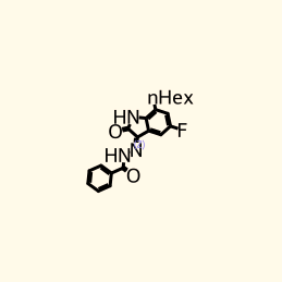 CCCCCCc1cc(F)cc2c1NC(=O)/C2=N\NC(=O)c1ccccc1